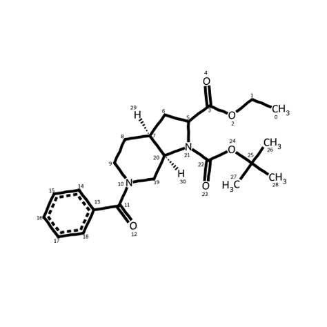 CCOC(=O)C1C[C@@H]2CCN(C(=O)c3ccccc3)C[C@@H]2N1C(=O)OC(C)(C)C